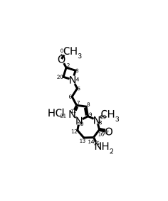 COC1CN(CCc2cc3n(n2)CCC(N)C(=O)N3C)C1.Cl